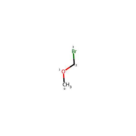 CO[CH]Br